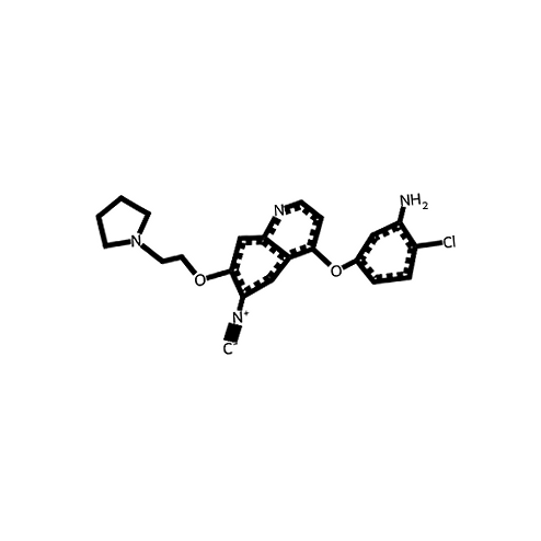 [C-]#[N+]c1cc2c(Oc3ccc(Cl)c(N)c3)ccnc2cc1OCCN1CCCC1